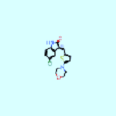 O=C1Nc2ccc(Cl)cc2/C1=C\c1ccc(N2CCOCC2)s1